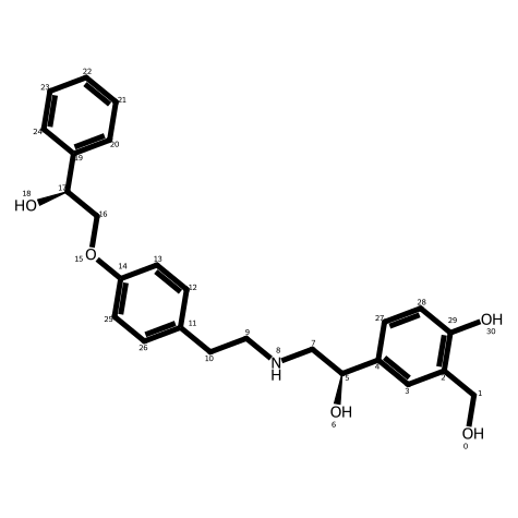 OCc1cc([C@@H](O)CNCCc2ccc(OC[C@@H](O)c3ccccc3)cc2)ccc1O